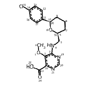 COc1c(NC[C@@H]2CCC[C@H](c3ccc(Cl)cc3)O2)ncnc1C(=O)O